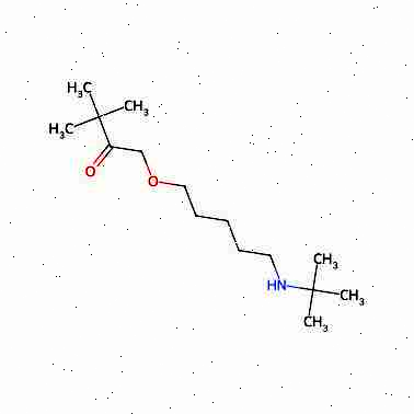 CC(C)(C)NCCCCCOCC(=O)C(C)(C)C